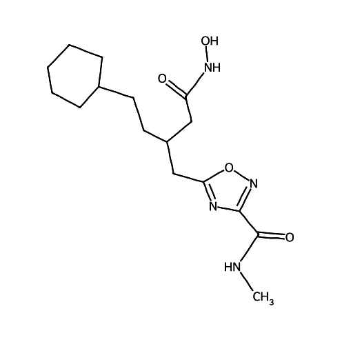 CNC(=O)c1noc(CC(CCC2CCCCC2)CC(=O)NO)n1